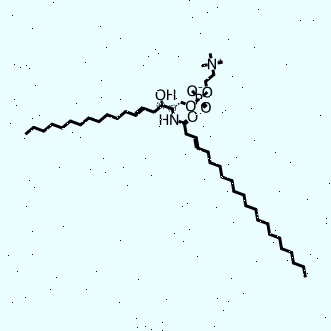 CCCCCCCCCCCCC=CC[C@@H](O)[C@H](COP(=O)([O-])OCC[N+](C)(C)C)NC(=O)CC=CCCCCCCCCCCCCCCCCCC